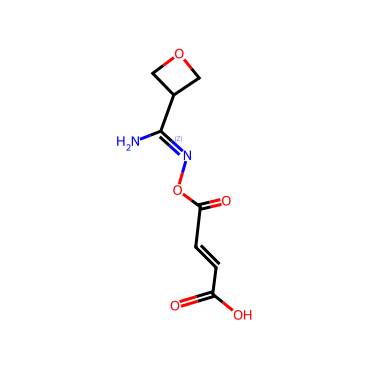 N/C(=N\OC(=O)C=CC(=O)O)C1COC1